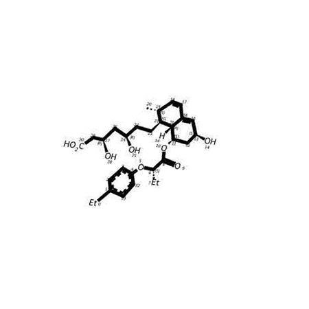 CCc1ccc(O[C@@H](CC)C(=O)O[C@H]2C[C@H](O)C=C3C=C[C@@H](C)[C@H](CC[C@@H](O)C[C@@H](O)CC(=O)O)[C@H]32)cc1